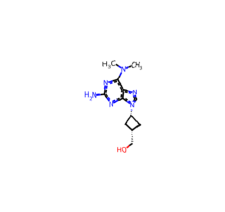 CN(C)c1nc(N)nc2c1ncn2[C@H]1C[C@@H](CO)C1